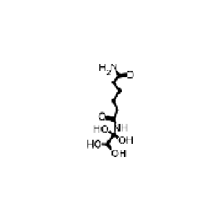 NC(=O)CCCCC(=O)NC(O)(O)C(O)O